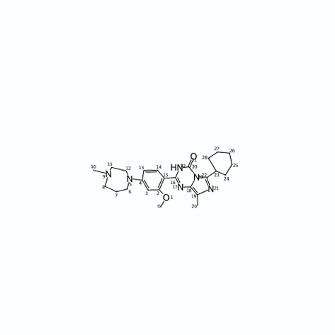 COc1cc(N2CCCN(C)CC2)ccc1-c1nc2c(C)nc(C3CCCCC3)n2c(=O)[nH]1